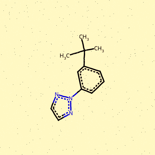 CC(C)(C)c1cccc(-n2nccn2)c1